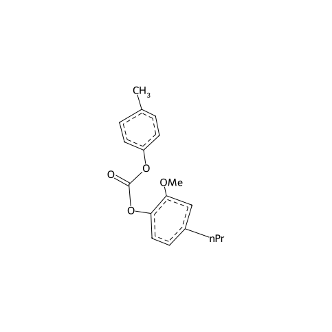 CCCc1ccc(OC(=O)Oc2ccc(C)cc2)c(OC)c1